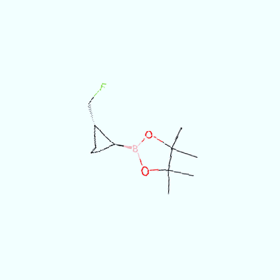 CC1(C)OB([C@H]2C[C@@H]2CF)OC1(C)C